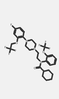 O=C(C1CCCCC1)N(CCN1CCN(c2ccc(F)cc2OCC(F)(F)F)CC1)c1ccccc1OC(F)(F)F